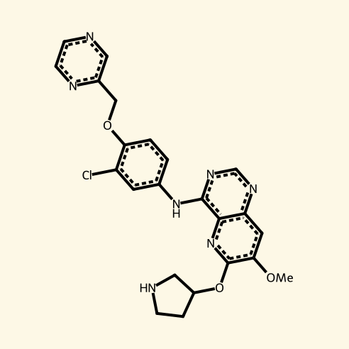 COc1cc2ncnc(Nc3ccc(OCc4cnccn4)c(Cl)c3)c2nc1OC1CCNC1